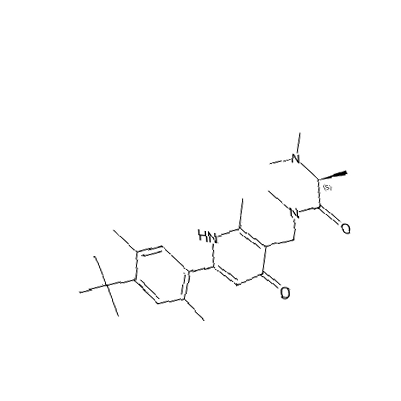 Cc1cc(C(C)(C)C)c(C)cc1-c1cc(=O)c(CN(C)C(=O)[C@H](C)N(C)C)c(C)[nH]1